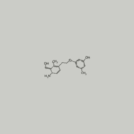 CC1=C(CCOc2cc(C)cc(O)c2)C=CC(N)C1=NO